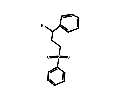 [CH2]CC(CCS(=O)(=O)c1ccccc1)c1ccccc1